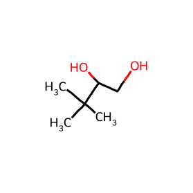 CC(C)(C)C(O)CO